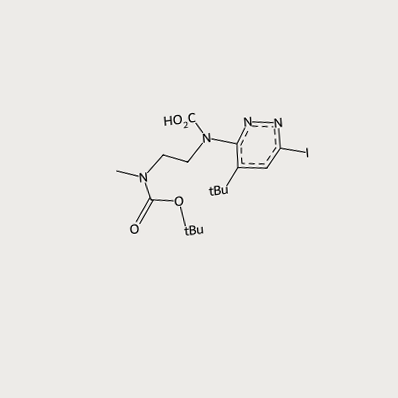 CN(CCN(C(=O)O)c1nnc(I)cc1C(C)(C)C)C(=O)OC(C)(C)C